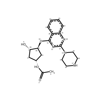 CC(=O)O.O[C@H]1CCC[C@@H]1Oc1nc(N2CCNCC2)nc2ccccc12